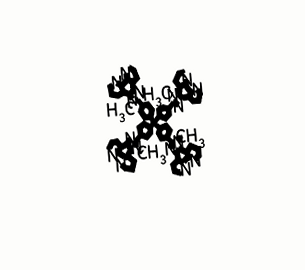 Cn1c(-c2ccc(C(c3ccc(-c4nc5c6cccnc6c6ncccc6c5n4C)cc3)(c3ccc(-c4nc5c6cccnc6c6ncccc6c5n4C)cc3)c3ccc(-c4nc5c6cccnc6c6ncccc6c5n4C)cc3)cc2)nc2c3cccnc3c3ncccc3c21